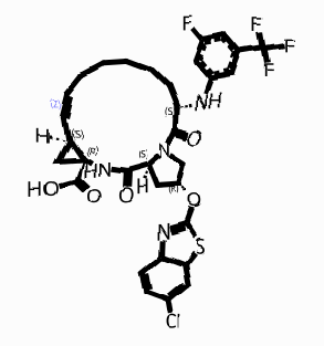 O=C1N[C@]2(C(=O)O)C[C@H]2/C=C\CCCCC[C@H](Nc2cc(F)cc(C(F)(F)F)c2)C(=O)N2C[C@H](OC3=NC4C=CC(Cl)=CC4S3)C[C@@H]12